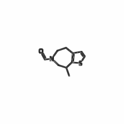 CC1CN(C=O)CCc2ccsc21